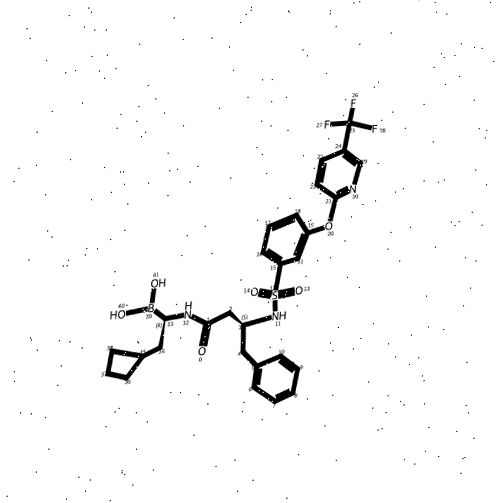 O=C(C[C@H](Cc1ccccc1)NS(=O)(=O)c1cccc(Oc2ccc(C(F)(F)F)cn2)c1)N[C@@H](CC1CCC1)B(O)O